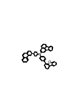 c1ccc2c(c1)-c1cccc3cc(N(c4ccc(-c5ccc6ccc7ccccc7c6c5)cc4)c4ccc(-c5cccc6c5oc5ccccc56)cc4)cc-2c13